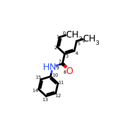 C/C=C\C(=C/CC)C(=O)Nc1ccccc1